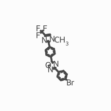 Cn1cc(C(F)(F)F)nc1-c1ccc(-c2nc(-c3ccc(Br)cc3)no2)cc1